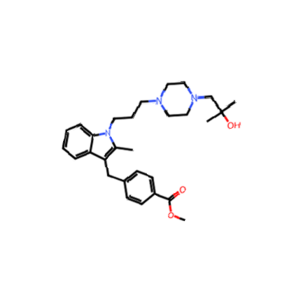 COC(=O)c1ccc(Cc2c(C)n(CCCN3CCN(CC(C)(C)O)CC3)c3ccccc23)cc1